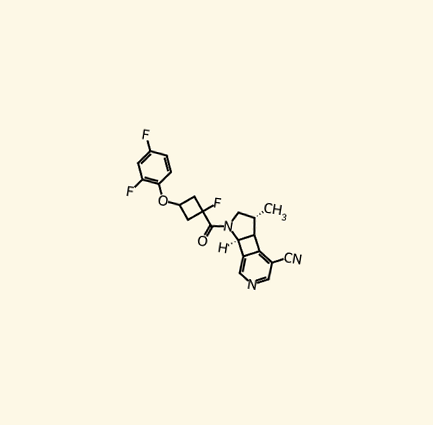 C[C@H]1CN(C(=O)C2(F)CC(Oc3ccc(F)cc3F)C2)[C@@H]2c3cncc(C#N)c3C21